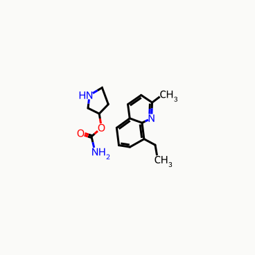 CCc1cccc2ccc(C)nc12.NC(=O)OC1CCNC1